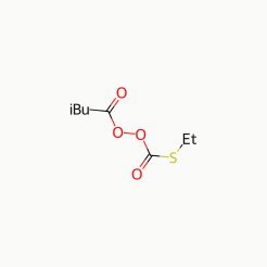 CCSC(=O)OOC(=O)C(C)CC